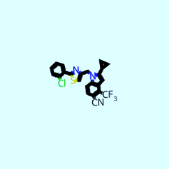 N#Cc1ccc2c(cc(C3CC3)n2Cc2csc(-c3ccccc3Cl)n2)c1C(F)(F)F